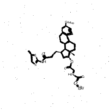 COc1ccc2c(c1)CCC1C2CC[C@@]2(C)C1[C@H](CCC(=O)Nc1ncc(C)s1)C[C@@H]2OC(=O)CNC(=O)OC(C)(C)C